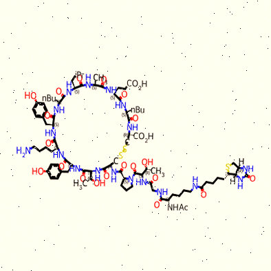 CCCC[C@@H]1NC(=O)[C@H](CCC(=O)O)NC(=O)[C@H](C)NC(=O)[C@H](CC(C)C)NC(=O)[C@H](CCCC)NC(=O)[C@H](Cc2ccc(O)cc2)NC(=O)[C@H](CCCCN)NC(=O)[C@H](Cc2ccc(O)cc2)NC(=O)[C@H]([C@@H](C)O)NC(=O)[C@@H](NC(=O)[C@@H]2CCCN2C(=O)[C@@H](NC(=O)CNC(=O)[C@H](CCCCNC(=O)CCCC[C@@H]2SC[C@@H]3NC(=O)N[C@@H]32)NC(C)=O)[C@@H](C)O)CSSC[C@@H](C(=O)O)NC1=O